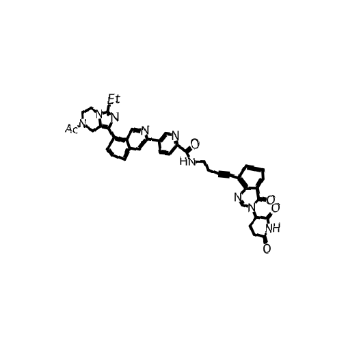 CCc1nc(-c2cccc3cc(-c4ccc(C(=O)NCCC#Cc5cccc6c(=O)n(C7CCC(=O)NC7=O)cnc56)nc4)ncc23)c2n1CCN(C(C)=O)C2